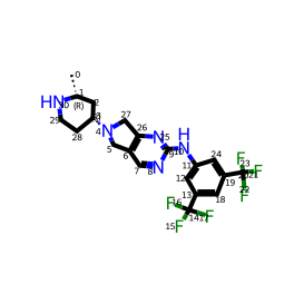 C[C@@H]1C[C@H](N2Cc3cnc(Nc4cc(C(F)(F)F)cc(C(F)(F)F)c4)nc3C2)CCN1